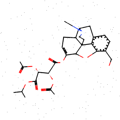 CC(=O)O[C@H](C(=O)OC1=CC[C@@]2(O)[C@H]3Cc4ccc(CO)c5c4C2(CCN3C)C1O5)[C@H](OC(C)=O)C(=O)OC(C)C